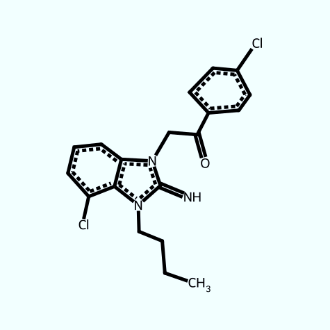 CCCCn1c(=N)n(CC(=O)c2ccc(Cl)cc2)c2cccc(Cl)c21